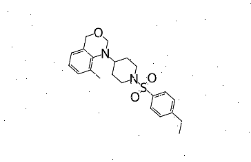 CCc1ccc(S(=O)(=O)N2CCC(N3COCc4cccc(C)c43)CC2)cc1